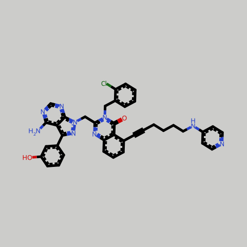 Nc1ncnc2c1c(-c1cccc(O)c1)nn2Cc1nc2cccc(C#CCCCCNc3ccncc3)c2c(=O)n1Cc1ccccc1Cl